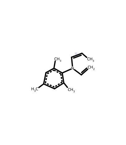 C=CN(/C=C\C)c1c(C)cc(C)cc1C